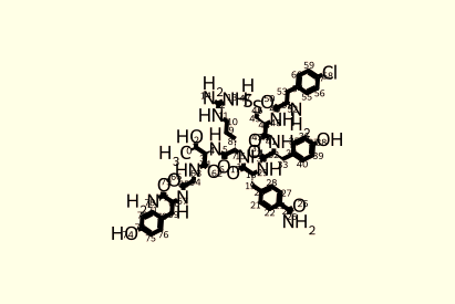 C[C@@H](O)[C@H](NC(=O)[C@H](CCCNC(=N)N)NC(=O)[C@@H](Cc1ccc(C(N)=O)cc1)NC(=O)[C@H](Cc1ccc(O)cc1)NC(=O)[C@@H](CSS)NC(=O)[C@@H](N)Cc1ccc(Cl)cc1)C(=O)NCC(=O)NC(Cc1ccc(O)cc1)C(N)=O